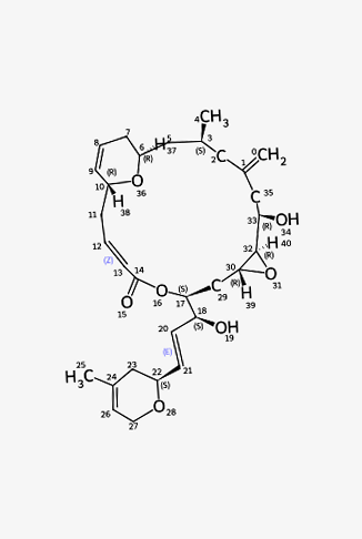 C=C1C[C@H](C)C[C@@H]2CC=C[C@@H](C/C=C\C(=O)O[C@H]([C@@H](O)/C=C/[C@@H]3CC(C)=CCO3)C[C@H]3O[C@@H]3[C@H](O)C1)O2